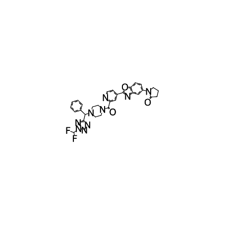 O=C(c1cc(-c2nc3cc(N4CCCC4=O)ccc3o2)ccn1)N1CCN(C(c2ccccc2)c2nnn(C(F)F)n2)CC1